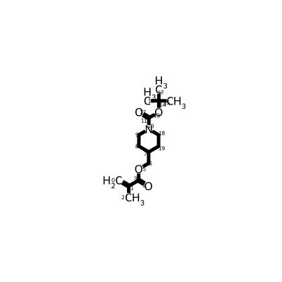 C=C(C)C(=O)OCC1CCN(C(=O)OC(C)(C)C)CC1